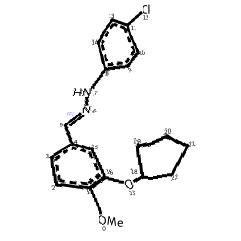 COc1ccc(/C=N/Nc2ccc(Cl)cc2)cc1OC1CCCC1